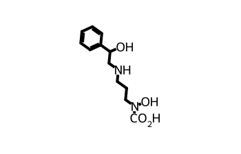 O=C(O)N(O)CCCNCC(O)c1ccccc1